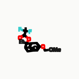 CCC1(OC(=O)C(C)(F)F)C2CC3CC1CC(OCOC)(C3)C2